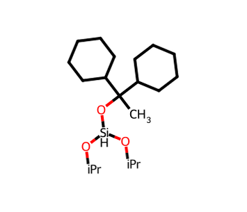 CC(C)O[SiH](OC(C)C)OC(C)(C1CCCCC1)C1CCCCC1